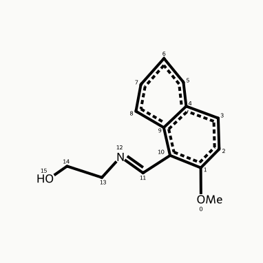 COc1ccc2ccccc2c1C=NCCO